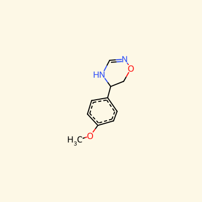 COc1ccc(C2CON=CN2)cc1